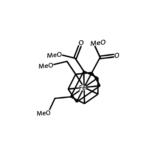 COC[C]12[CH]3[CH]4[CH]5[C]1(C(=O)OC)[Fe]43521678[CH]2[CH]1[C]6(COC)[C]7(C(=O)OC)[CH]28